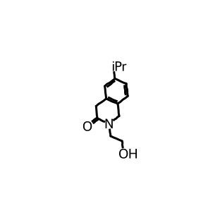 CC(C)c1ccc2c(c1)CC(=O)N(CCO)C2